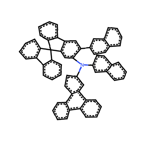 c1ccc2c(c1)-c1ccccc1C21c2ccccc2-c2cc(-c3ccc4ccccc4c3)c(N(c3ccc4ccccc4c3)c3ccc4c5ccccc5c5ccccc5c4c3)cc21